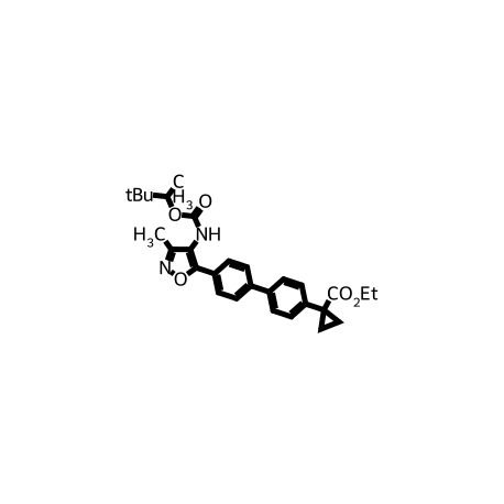 CCOC(=O)C1(c2ccc(-c3ccc(-c4onc(C)c4NC(=O)OC(C)C(C)(C)C)cc3)cc2)CC1